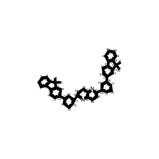 CC1(C)c2ccccc2-c2ccc(-c3cccc(-c4ccc5nc(-c6cccc(-c7ccc8c(c7)C(C)(C)c7ccccc7-8)c6)ccc5n4)c3)cc21